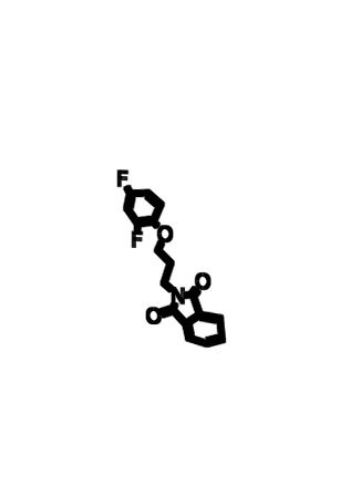 O=C1c2ccccc2C(=O)N1CCCOc1ccc(F)cc1F